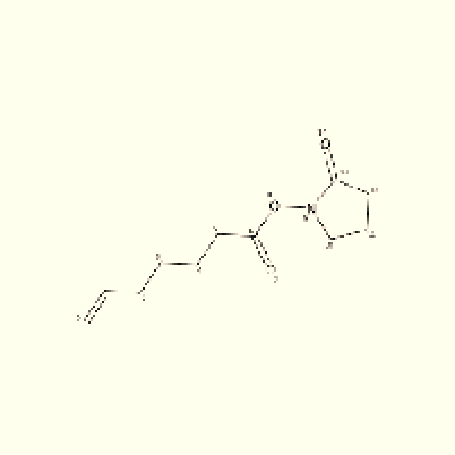 C=CCCCCC(=O)ON1CCCC1=O